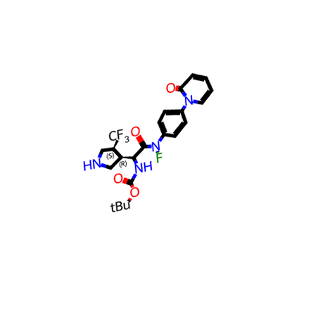 CC(C)(C)OC(=O)NC(C(=O)N(F)c1ccc(-n2ccccc2=O)cc1)[C@H]1CNC[C@H]1C(F)(F)F